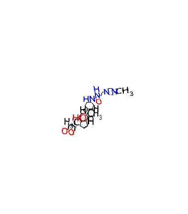 CN1CCN(CCNC(=O)N[C@H]2CC[C@@]3(C)[C@H](CC[C@@H]4[C@@H]3CC[C@]3(C)[C@@H](c5ccc(=O)oc5)CC[C@]43O)C2)CC1